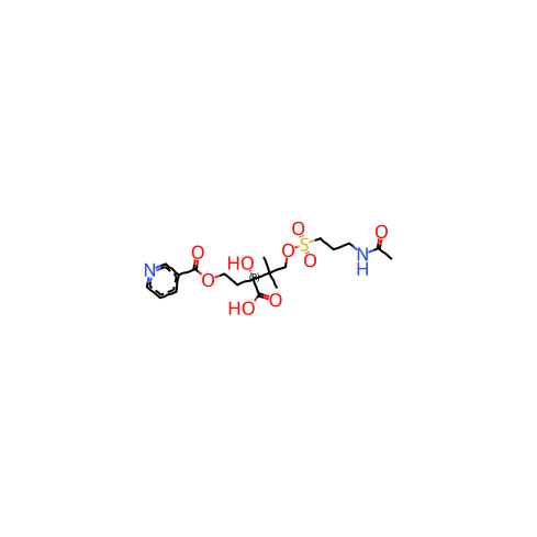 CC(=O)NCCCS(=O)(=O)OCC(C)(C)[C@](O)(CCOC(=O)c1cccnc1)C(=O)O